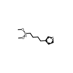 CO[SiH](CCCCc1ccsc1)OC